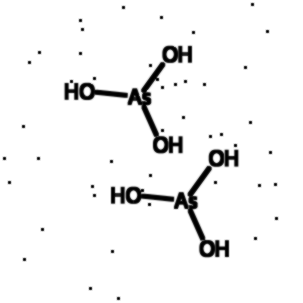 O[As](O)O.O[As](O)O